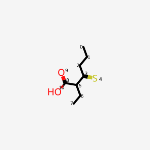 CCCC(=S)C(CC)C(=O)O